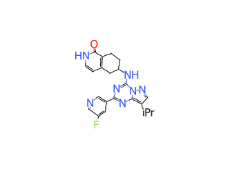 CC(C)c1cnn2c(N[C@@H]3CCc4c(cc[nH]c4=O)C3)nc(-c3cncc(F)c3)nc12